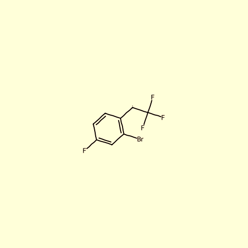 Fc1ccc([CH]C(F)(F)F)c(Br)c1